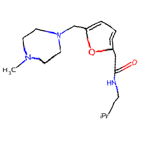 CC(C)CNC(=O)c1ccc(CN2CCN(C)CC2)o1